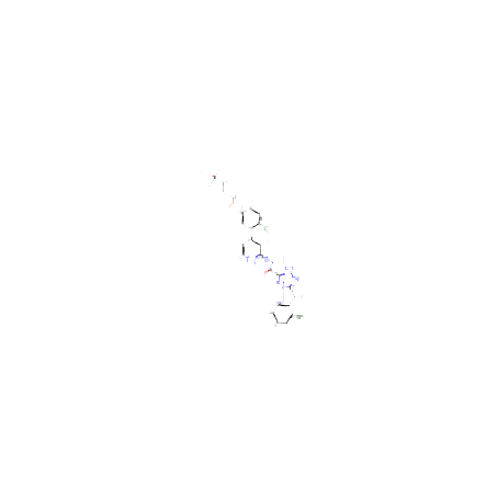 CC(C)(O)CCCOc1ccc(Cl)c(-c2ccnc(NC(=O)c3nnc(Cc4ccccc4F)[nH]3)c2)c1